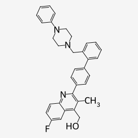 Cc1c(-c2ccc(-c3ccccc3CN3CCN(c4ccccc4)CC3)cc2)nc2ccc(F)cc2c1CO